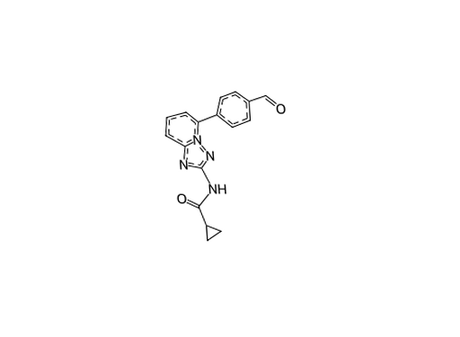 O=Cc1ccc(-c2cccc3nc(NC(=O)C4CC4)nn23)cc1